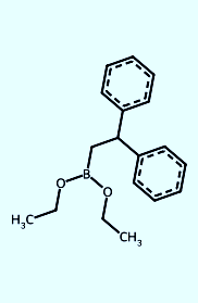 CCOB(CC(c1ccccc1)c1ccccc1)OCC